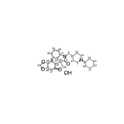 Cl.O=C1N(CC2CCN(C3CCCCC3)CC2)c2ccccc2C12COc1cc3c(cc12)OCO3